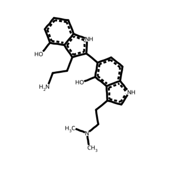 CN(C)CCc1c[nH]c2ccc(-c3[nH]c4cccc(O)c4c3CCN)c(O)c12